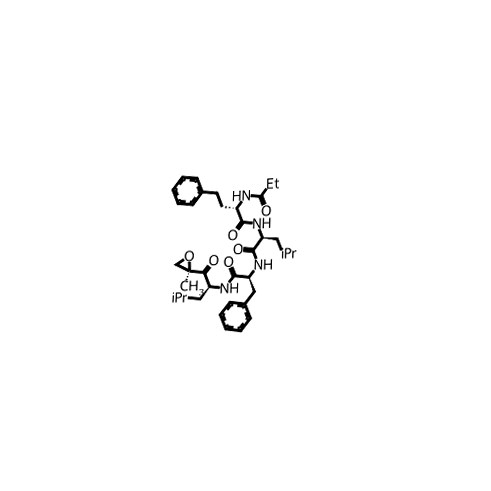 CCC(=O)N[C@@H](CCc1ccccc1)C(=O)N[C@@H](CC(C)C)C(=O)N[C@@H](Cc1ccccc1)C(=O)N[C@@H](CC(C)C)C(=O)[C@@]1(C)CO1